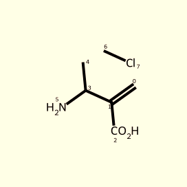 C=C(C(=O)O)C(C)N.CCl